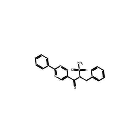 NS(=O)(=O)N(Cc1ccccc1)C(=O)c1cnc(-c2ccccc2)nc1